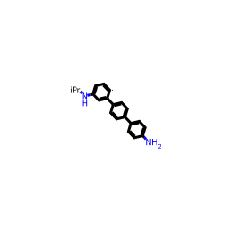 CC(C)Nc1cc[c]c(-c2ccc(-c3ccc(N)cc3)cc2)c1